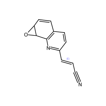 N#C/C=C/c1ccc2c(n1)C1OC1C=C2